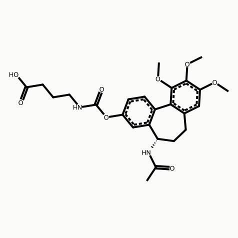 COc1cc2c(c(OC)c1OC)-c1ccc(OC(=O)NCCCC(=O)O)cc1[C@@H](NC(C)=O)CC2